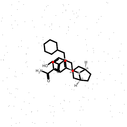 NC(=O)c1cccc([C@H]2C[C@H]3CC[C@@H](C2)N3CCN(CC2CCCCC2)C(=O)CO)c1